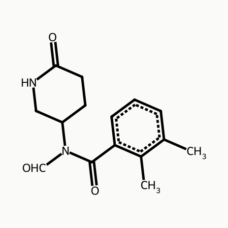 Cc1cccc(C(=O)N(C=O)C2CCC(=O)NC2)c1C